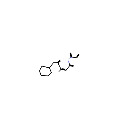 C=CC(=C)NC(=C)/C=C(\C(=C)CC1CCCCC1)C(F)(F)F